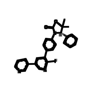 CC1(C)OC(=O)N(c2ccc(-c3cc(-c4cccnc4)cnc3F)cc2)[C@H]1c1ccccc1